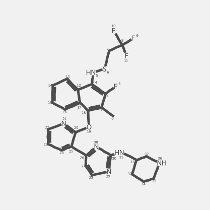 Cc1c(F)c(NSCC(F)(F)F)c2ccccc2c1Oc1ncccc1-c1ccnc(NC2CCCNC2)n1